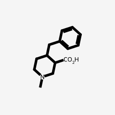 CN1CCC(Cc2ccccc2)C(C(=O)O)C1